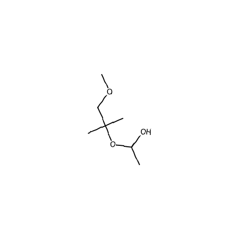 COCC(C)(C)OC(C)O